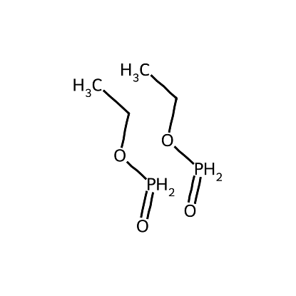 CCO[PH2]=O.CCO[PH2]=O